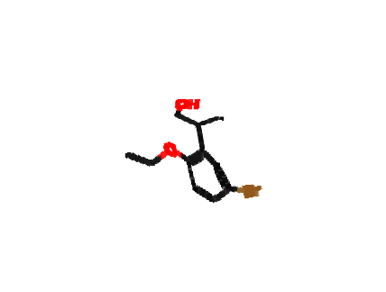 [CH2]C(CO)c1cc(Br)ccc1OCC